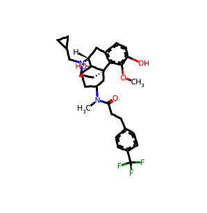 COc1c(O)ccc2c1[C@]13CCN(CC4CC4)[C@H](C2)[C@]1(O)CCC(N(C)C(=O)CCc1ccc(C(F)(F)F)cc1)C3